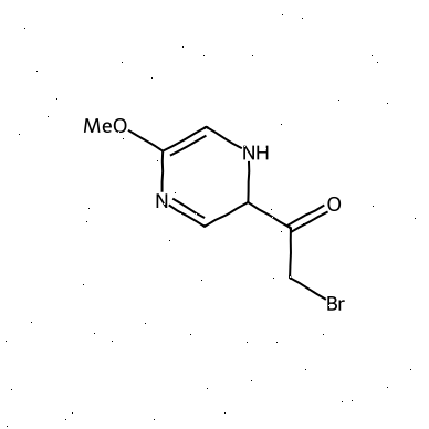 COC1=CNC(C(=O)CBr)C=N1